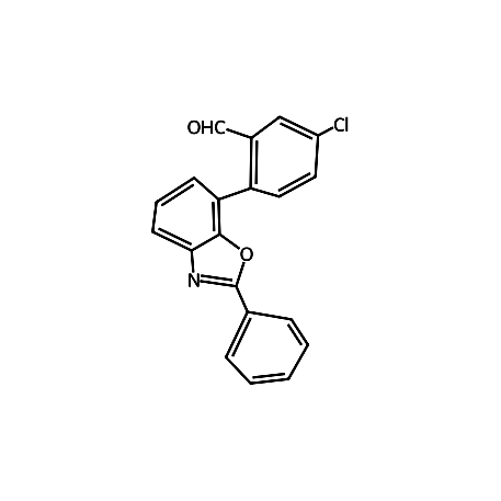 O=Cc1cc(Cl)ccc1-c1cccc2nc(-c3ccccc3)oc12